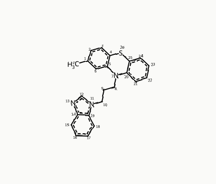 Cc1ccc2c(c1)N(CCCn1cnc3ccccc31)c1ccccc1S2